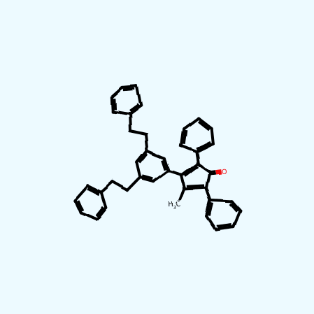 CC1=C(c2ccccc2)C(=O)C(c2ccccc2)=C1c1cc(CCc2ccccc2)cc(CCc2ccccc2)c1